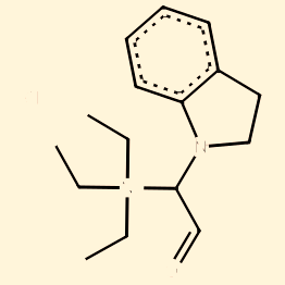 CC[N+](CC)(CC)C(C=O)N1CCc2ccccc21.[Cl-]